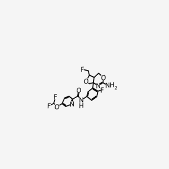 NC1=NC2(c3cc(NC(=O)c4ccc(OC(F)F)cn4)ccc3F)COC(CF)C2CO1